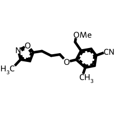 COCc1cc(C#N)cc(C)c1OCCCc1cc(C)no1